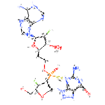 Nc1nc2c(nnn2[C@@H]2O[C@H](CO)[C@@H](F)[C@H]2P(=O)(S)OCC[C@H]2O[C@@H](n3cnc4c3N=CNC4N)[C@@H](F)[C@@H]2O)c(=O)[nH]1